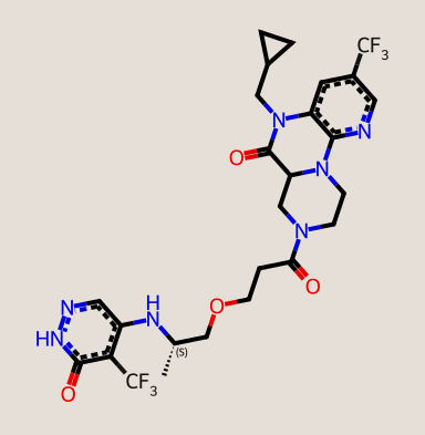 C[C@@H](COCCC(=O)N1CCN2c3ncc(C(F)(F)F)cc3N(CC3CC3)C(=O)C2C1)Nc1cn[nH]c(=O)c1C(F)(F)F